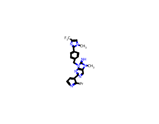 CC(C)c1ncccc1-c1ncc2c(n1)n(Cc1ccc(-c3nc(C(F)(F)F)cn3C)cc1)c(=N)n2C